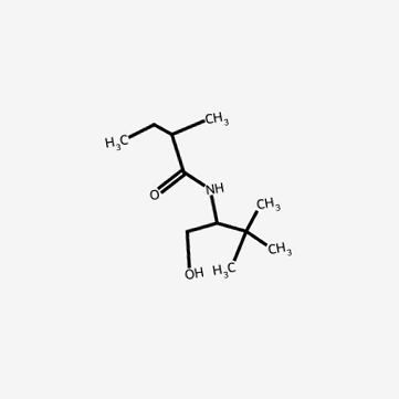 CCC(C)C(=O)NC(CO)C(C)(C)C